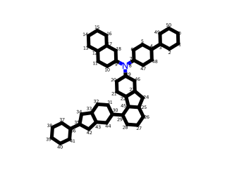 C1CCC(C2CCC(N(C3CCC4CCCCC4C3)C3CCC4C(CC5CCCC(C6CCC7CC(C8CCCCC8)CC7C6)C54)C3)CC2)CC1